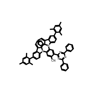 Cc1cc(C)c(-c2ccc3c(c2)c2ccccc2n3-c2cc(C#N)c(-c3nc(-c4ccccc4)nc(-c4ccccc4)n3)cc2-n2c3ccccc3c3cc(-c4c(C)cc(C)cc4C)ccc32)c(C)c1